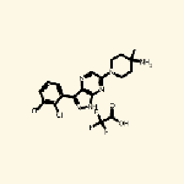 CC1(N)CCN(c2cnc3c(-c4cccc(Cl)c4Cl)n[nH]c3n2)CC1.O=C(O)C(F)(F)F